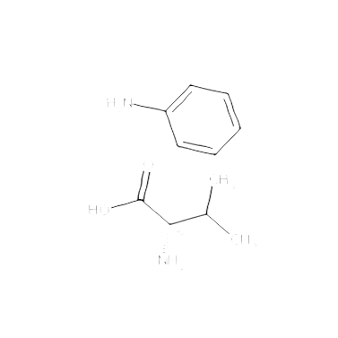 CC(C)[C@H](N)C(=O)O.Nc1ccccc1